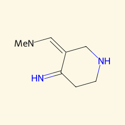 CN/C=C1/CNCCC1=N